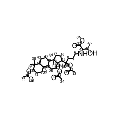 COC(=O)[C@H](NCCCC(C)(OC(C)=O)C1CC[C@]2(C)[C@@H]1C(OC(C)=O)CC1[C@@]3(C)CC[C@H](OC(C)=O)C(C)(C)C3CC[C@]12C)[C@@H](C)O